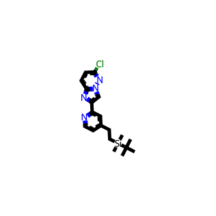 CC(C)(C)[Si](C)(C)CCc1ccnc(-c2cn3nc(Cl)ccc3n2)c1